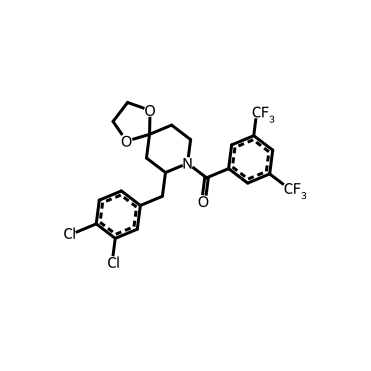 O=C(c1cc(C(F)(F)F)cc(C(F)(F)F)c1)N1CCC2(CC1Cc1ccc(Cl)c(Cl)c1)OCCO2